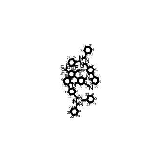 N#Cc1cc(-n2c3ccccc3c3ccc(-c4nc(-c5ccccc5)nc(-c5ccccc5)n4)cc32)c(-c2ccc(C(F)(F)F)cc2C(F)(F)F)cc1-n1c2ccccc2c2ccc(-c3nc(-c4ccccc4)nc(-c4ccccc4)n3)cc21